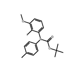 COc1cccc(N(C(=O)OC(C)(C)C)c2ccc(C)cc2)c1I